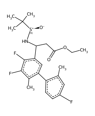 CCOC(=O)CC(N[S@+]([O-])C(C)(C)C)c1cc(-c2ccc(F)cc2C)c(C)c(F)c1F